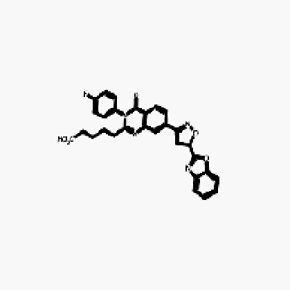 O=C(O)CCCCc1nc2cc(C3=NOC(c4nc5ccccc5o4)C3)ccc2c(=O)n1-c1ccc(F)cc1